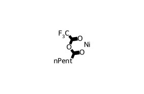 CCCCCC(=O)OC(=O)C(F)(F)F.[Ni]